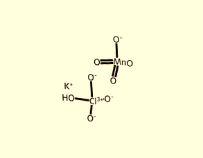 [K+].[O-][Cl+3]([O-])([O-])O.[O]=[Mn](=[O])(=[O])[O-]